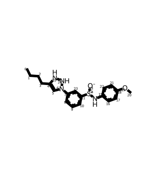 CCCCC1=CN(c2cccc([S+]([O-])Nc3ccc(OC)cc3)c2)NN1